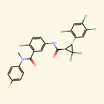 CN(C(=O)c1cc(NC(=O)[C@H]2[C@H](c3cc(Cl)c(Cl)cc3Cl)C2(Cl)Cl)ccc1Cl)c1ccc(F)cc1